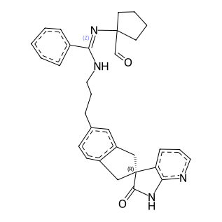 O=CC1(/N=C(\NCCCc2ccc3c(c2)C[C@@]2(C3)C(=O)Nc3ncccc32)c2ccccc2)CCCC1